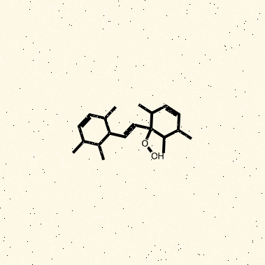 CC1C=CC(C)C(/C=C/C2(OO)C(C)C=CC(C)C2C)C1C